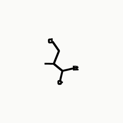 CCC([O])C(C)CCl